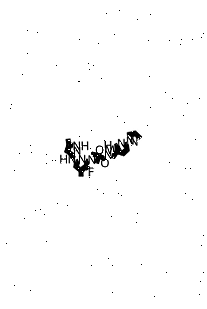 COC1(C(=O)NCc2ccc(-n3cccn3)nc2)CN(c2nc(Nc3cc(C)[nH]n3)cc(C)c2F)C1